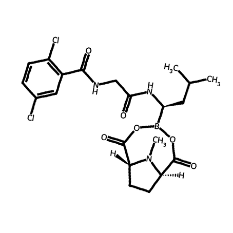 CC(C)C[C@H](NC(=O)CNC(=O)c1cc(Cl)ccc1Cl)B1OC(=O)[C@H]2CC[C@H](C(=O)O1)N2C